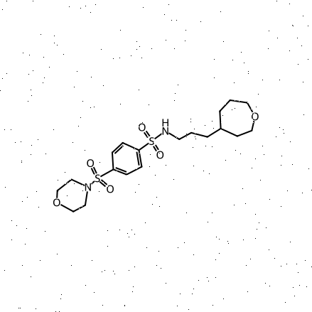 O=S(=O)(NCCCC1CCCOCC1)c1ccc(S(=O)(=O)N2CCOCC2)cc1